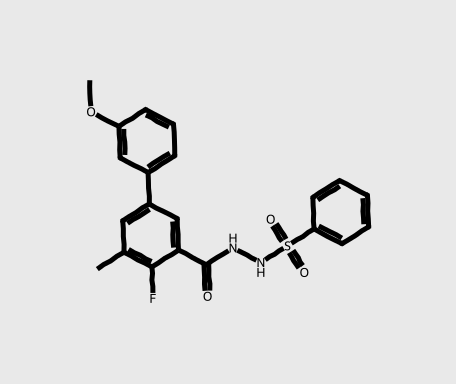 COc1cccc(-c2cc(C)c(F)c(C(=O)NNS(=O)(=O)c3ccccc3)c2)c1